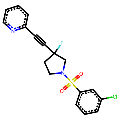 O=S(=O)(c1cccc(Cl)c1)N1CCC(F)(C#Cc2ccccn2)C1